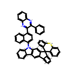 c1ccc(-c2nc3ccccc3nc2-c2ccc(-n3c4ccccc4c4cc5c(cc43)C3(c4ccccc4Sc4ccccc43)c3ccccc3-5)c3ccccc23)cc1